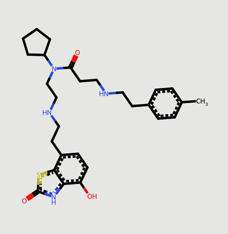 Cc1ccc(CCNCCC(=O)N(CCNCCc2ccc(O)c3[nH]c(=O)sc23)C2CCCC2)cc1